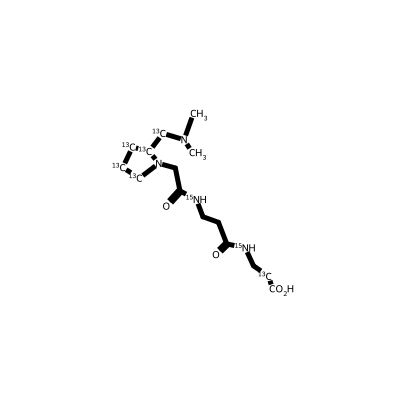 CN(C)[13CH2][13CH]1[13CH2][13CH2][13CH2]N1CC(=O)[15NH]CCC(=O)[15NH]C[13CH2][13C](=O)O